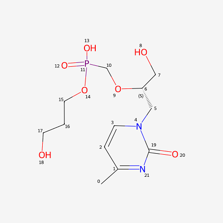 Cc1ccn(C[C@@H](CO)OCP(=O)(O)OCCCO)c(=O)n1